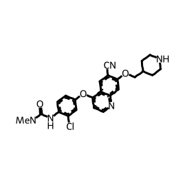 CNC(=O)Nc1ccc(Oc2ccnc3cc(OCC4CCNCC4)c(C#N)cc23)cc1Cl